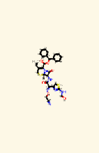 C=CC1=C(C(=O)OC(c2ccccc2)c2ccccc2)N2C(=O)C(NC(=O)/C(=N/OCC#N)c3csc(NC=O)n3)[C@H]2SC1